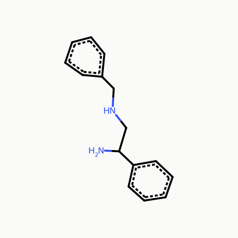 NC(CNCc1ccccc1)c1ccccc1